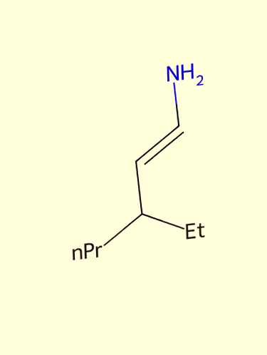 CCCC(C=CN)CC